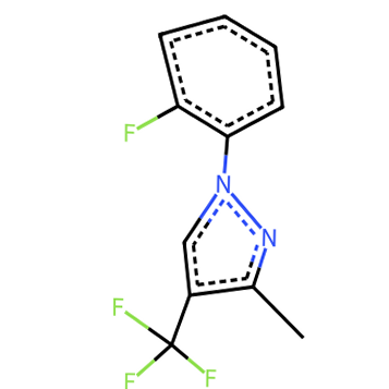 Cc1nn(-c2ccccc2F)cc1C(F)(F)F